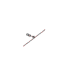 CCCCCCCCCCCCCCCCCC(CCCCCCCCCCCCCCCCC)N(C)CCCCOCCOC